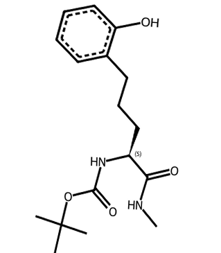 CNC(=O)[C@H](CCCc1ccccc1O)NC(=O)OC(C)(C)C